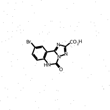 O=C(O)c1nc2c3cc(Br)ccc3[nH]c(=O)n2n1